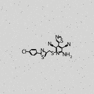 N#Cc1c(N)nc(SCc2csc(-c3ccc(Cl)cc3)n2)c(C#N)c1-c1cncs1